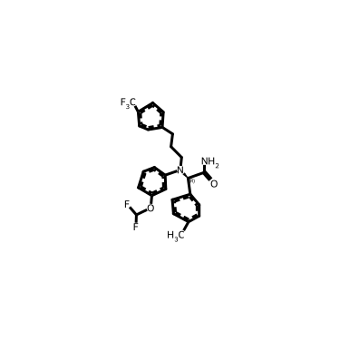 Cc1ccc([C@H](C(N)=O)N(CCCc2ccc(C(F)(F)F)cc2)c2cccc(OC(F)F)c2)cc1